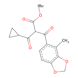 Cc1c(C(=O)C(C(=O)OC(C)(C)C)C(=O)C2CC2)ccc2c1OCO2